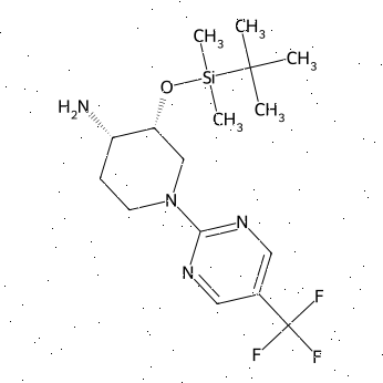 CC(C)(C)[Si](C)(C)O[C@@H]1CN(c2ncc(C(F)(F)F)cn2)CC[C@@H]1N